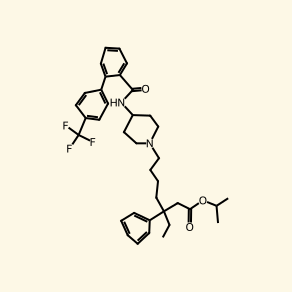 CCC(CCCCN1CCC(NC(=O)c2ccccc2-c2ccc(C(F)(F)F)cc2)CC1)(CC(=O)OC(C)C)c1ccccc1